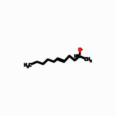 CCCCCC=CCC[SiH](C)[O]